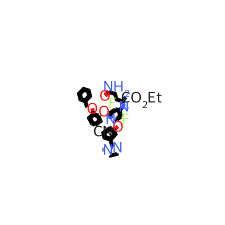 CCOC(=O)C(CCC(N)=O)N(C)c1c(F)c(Oc2cccc(C3=NCCN3C)c2)nc(Oc2cc(C#N)ccc2OCc2ccccc2)c1F